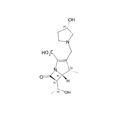 C[C@@H](O)[C@H]1C(=O)N2C(C(=O)O)=C(CN3CC[C@H](O)C3)[C@H](C)[C@H]12